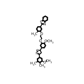 COc1ccc(C2CC(c3cc(C)c(C)c(OC)c3)=NO2)cc1OCCOc1cc(-c2nc3ccccc3s2)ccc1C